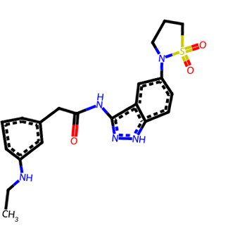 CCNc1cccc(CC(=O)Nc2n[nH]c3ccc(N4CCCS4(=O)=O)cc23)c1